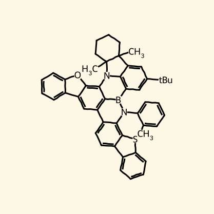 Cc1ccccc1N1B2c3cc(C(C)(C)C)cc4c3N(c3c2c(cc2c3oc3ccccc32)-c2ccc3c(sc5ccccc53)c21)C1(C)CCCCC41C